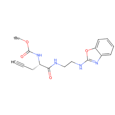 C#CC[C@H](NC(=O)OC(C)(C)C)C(=O)NCCNc1nc2ccccc2o1